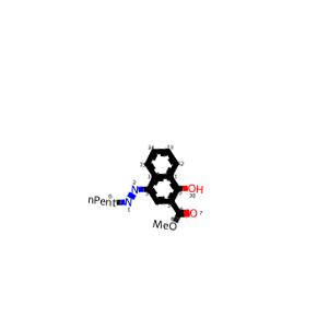 CCCCCN=Nc1cc(C(=O)OC)c(O)c2ccccc12